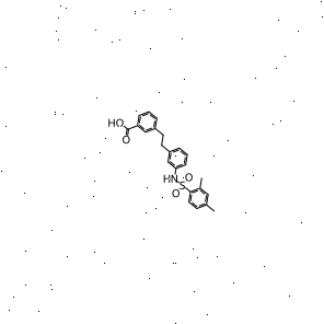 Cc1ccc(S(=O)(=O)Nc2cccc(CCc3cccc(C(=O)O)c3)c2)c(C)c1